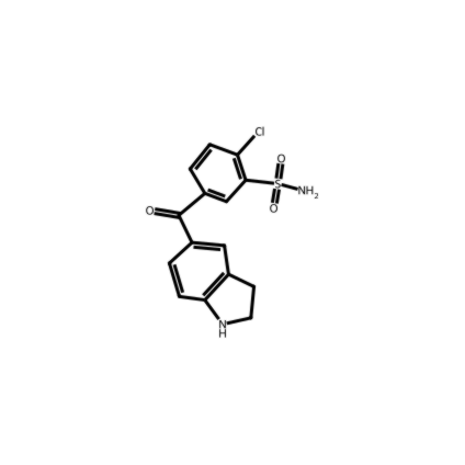 NS(=O)(=O)c1cc(C(=O)c2ccc3c(c2)CCN3)ccc1Cl